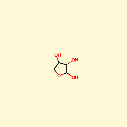 OC1COC(O)[C@H]1O